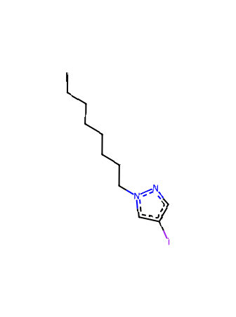 CCCCCCCCn1cc(I)cn1